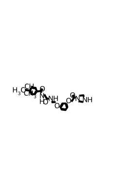 CC(C)(C)c1ccc(C(=O)NCC(=O)NCCOc2cccc(OCC(=O)N3CCNCC3)c2)cc1